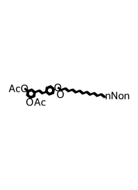 CCCCCCCCCC=CC=CC=CC=CC=CC=CC(=O)Oc1ccc(C=Cc2cc(OC(C)=O)cc(OC(C)=O)c2)cc1